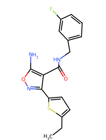 CCc1ccc(-c2noc(N)c2C(=O)NCc2cccc(F)c2)s1